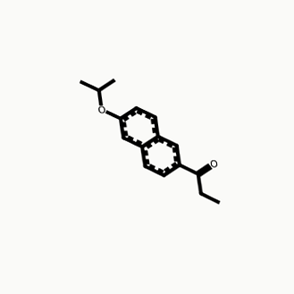 CCC(=O)c1ccc2cc(OC(C)C)ccc2c1